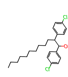 CCCCCCCCCCC(c1ccc(Cl)cc1)C(O)c1ccc(Cl)cc1